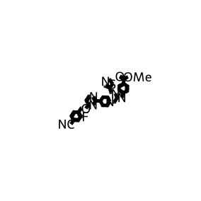 COC(=O)c1ccc2nc(CN3CCC(c4nccc(OCc5ccc(C#N)cc5F)n4)CC3)n(Cc3cncs3)c2c1